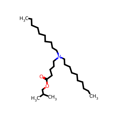 CCCCCCCCCCN(CCCCCCCCCC)CCCCC(=O)OCC(C)C